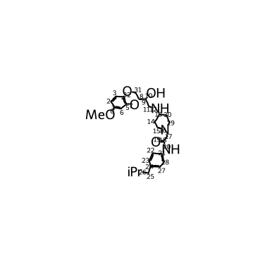 COc1ccc2c(c1)OC(C(O)CNC1CCN(CC(=O)Nc3ccc(CC(C)C)cc3)CC1)CO2